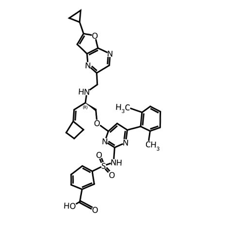 Cc1cccc(C)c1-c1cc(OC[C@@H](C=C2CCC2)NCc2cnc3oc(C4CC4)cc3n2)nc(NS(=O)(=O)c2cccc(C(=O)O)c2)n1